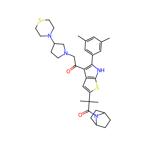 Cc1cc(C)cc(-c2[nH]c3sc(C(C)(C)C(=O)N4C5CCC4CC5)cc3c2C(=O)CN2CCC(N3CCSCC3)C2)c1